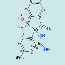 CC(=N)NC12C(=O)c3ccccc3C1(O)Oc1cc(C(C)C)ccc12